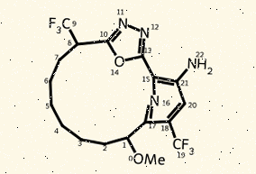 COC1CCCCCCC(C(F)(F)F)c2nnc(o2)-c2nc1c(C(F)(F)F)cc2N